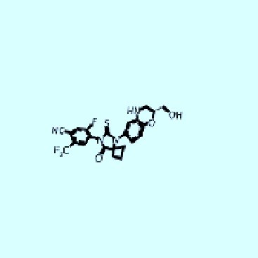 N#Cc1cc(F)c(N2C(=O)C3(CCC3)N(c3ccc4c(c3)NC[C@H](CO)O4)C2=S)cc1C(F)(F)F